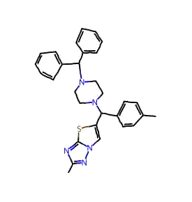 Cc1ccc(C(c2cn3nc(C)nc3s2)N2CCN(C(c3ccccc3)c3ccccc3)CC2)cc1